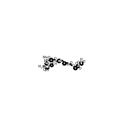 COc1cc(C(=O)NC2CCN(Cc3cccc(CNC(=O)COc4cccc5c4C(=O)N(C4CCC(=O)NC4=O)C5=O)c3)CC2)c(F)cc1Nc1ncc2c(n1)N(C1CCCC1)CC(F)(F)C(=O)N2C